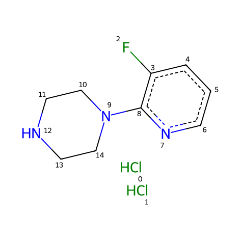 Cl.Cl.Fc1cccnc1N1CCNCC1